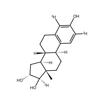 [2H]c1cc2c(c([2H])c1O)CC[C@@H]1[C@@H]2CC[C@@]2(C)[C@H]1C[C@@H](O)[C@]2([2H])O